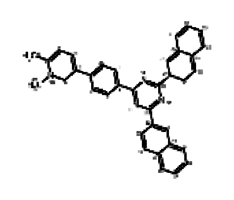 CC1=CC=C(c2ccc(-c3nc(-c4ccc5ccccc5c4)nc([C@H]4C=c5ccccc5=CC4)n3)cc2)CN1C